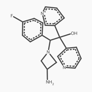 NC1CN(C(c2ccc(F)cc2)C(O)(c2cccnc2)c2cccnc2)C1